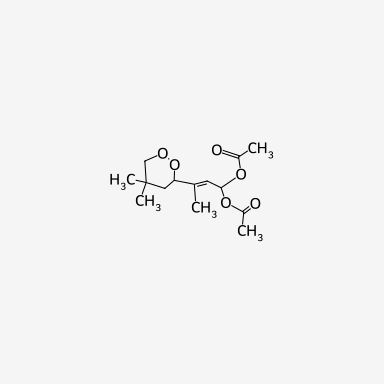 CC(=O)OC(C=C(C)C1CC(C)(C)COO1)OC(C)=O